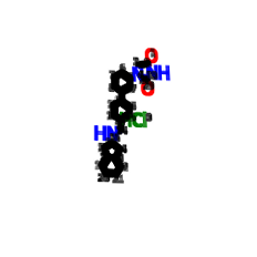 Cl.O=C1CN(c2cccc(-c3ccc(CNC4Cc5ccccc5C4)cc3)c2)C(=O)N1